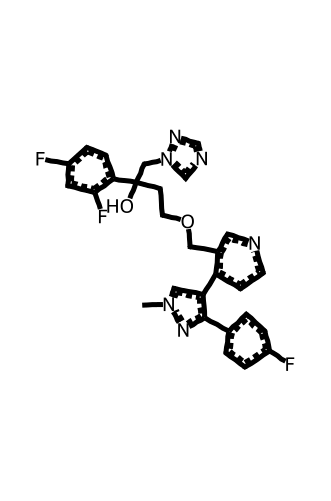 Cn1cc(-c2ccncc2COCCC(O)(Cn2cncn2)c2ccc(F)cc2F)c(-c2ccc(F)cc2)n1